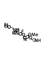 CCOc1ccc(CCNC(=O)C(=O)Nc2ccc(Oc3ccnc4cc(OCC5CCNCC5)c(OC)cc34)c(F)c2)cc1